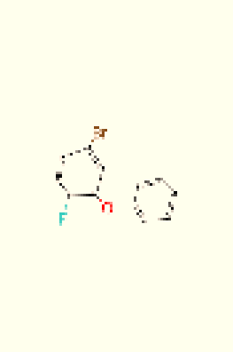 Fc1ccc(Br)cc1Oc1ccccc1